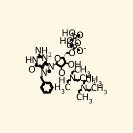 CCN(CC)CC.CCN(CC)CC.Nc1nc2c(c(=O)[nH]1)[n+](Cc1ccccc1)cn2[C@@H]1O[C@H](COP(=O)([O-])OP(=O)(O)O)[C@@H](O)[C@H]1O